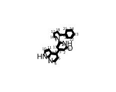 O=c1cc(-c2ccnc3[nH]ccc23)cc(N2CCCC2c2ccccc2)[nH]1